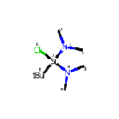 CN(C)[Si](Cl)(N(C)C)C(C)(C)C